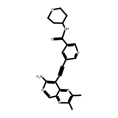 Cc1nc2cnc(N)c(C#Cc3cncc(C(=O)NC4CCOCC4)c3)c2nc1C